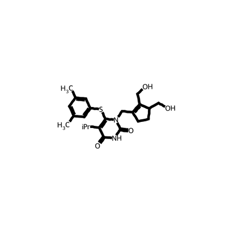 Cc1cc(C)cc(Sc2c(C(C)C)c(=O)[nH]c(=O)n2CC2=C(CO)C(CO)CC2)c1